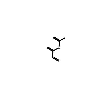 C=CC(=C)OC(=C)C